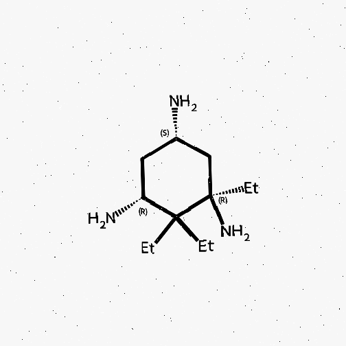 CCC1(CC)[C@H](N)C[C@H](N)C[C@]1(N)CC